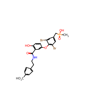 CP(=O)(O)Cc1cc(Br)c(Oc2ccc(O)c(C(=O)NCCc3ccc(C(=O)O)cc3)c2)c(Br)c1